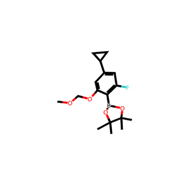 COCOc1cc(C2CC2)cc(F)c1B1OC(C)(C)C(C)(C)O1